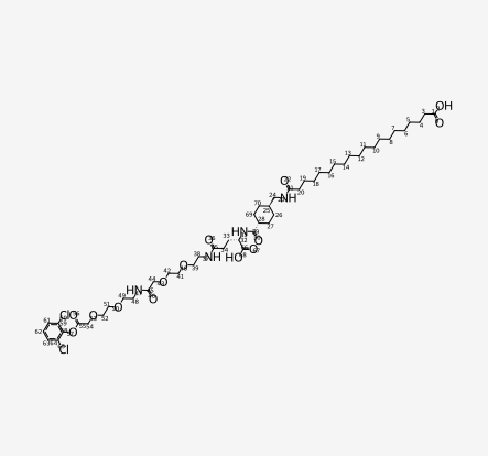 O=C(O)CCCCCCCCCCCCCCCCCCC(=O)NC[C@H]1CC[C@H](C(=O)N[C@@H](CCC(=O)NCCOCCOCC(=O)NCCOCCOCC(=O)Oc2c(Cl)cccc2Cl)C(=O)O)CC1